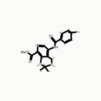 COC(=O)c1ncc(NC(=O)c2ccc(F)cc2)c2c1OC(C)(C)OC2